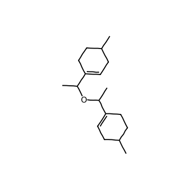 CC1CC=C(C(C)OC(C)C2=CCC(C)CC2)CC1